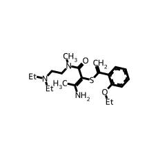 C=C(S/C(C(=O)N(C)CCN(CC)CC)=C(/C)N)c1ccccc1OCC